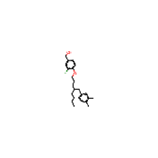 CCCCC(CCCOc1ccc(CO)cc1F)Cc1ccc(C)c(C)c1